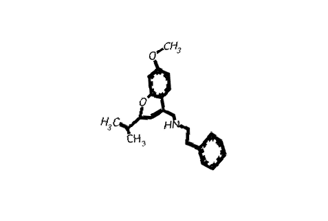 COc1ccc2c(c1)OC(C(C)C)C=C2CNCCc1ccccc1